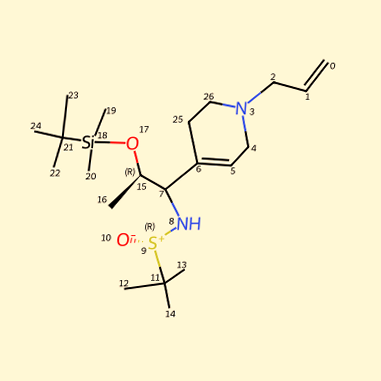 C=CCN1CC=C(C(N[S@@+]([O-])C(C)(C)C)[C@@H](C)O[Si](C)(C)C(C)(C)C)CC1